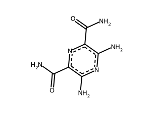 NC(=O)c1nc(C(N)=O)c(N)nc1N